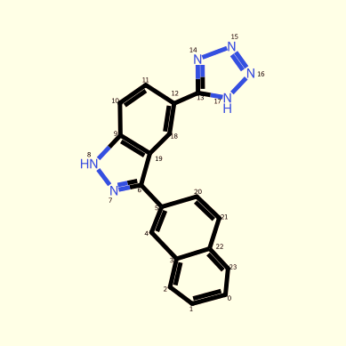 c1ccc2cc(-c3n[nH]c4ccc(-c5nnn[nH]5)cc34)ccc2c1